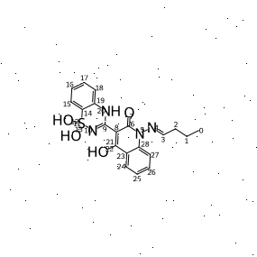 CCCC=Nn1c(=O)c(C2=NS(O)(O)c3ccccc3N2)c(O)c2ccccc21